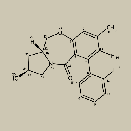 Cc1cc2c(c(-c3ccccc3F)c1F)C(=O)N1C[C@@H](O)C[C@@H]1CO2